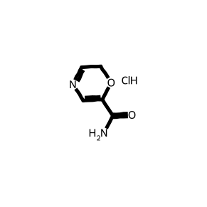 Cl.NC(=O)C1=CN=CCO1